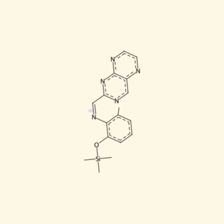 Cc1cccc(O[Si](C)(C)C)c1/N=C\c1ncc2nccnc2n1